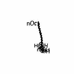 CCCCCCCC/C=C/CCCCCCCCCCCCCCCC(=O)N[C@@H](COP(=O)(O)O)[C@H](O)/C=C/CCCCCCCCC